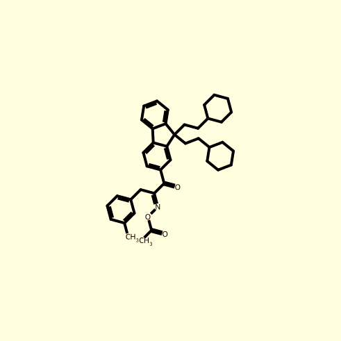 CC(=O)O/N=C(\Cc1cccc(C)c1)C(=O)c1ccc2c(c1)C(CCC1CCCCC1)(CCC1CCCCC1)c1ccccc1-2